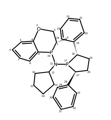 C[C@H]1COc2ccccc2P1N(C1CCCC1)P1[C@H](c2ccccc2)CC[C@H]1c1ccccc1